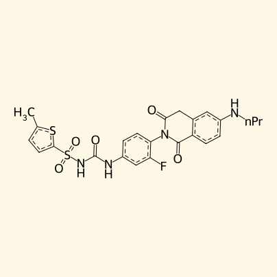 CCCNc1ccc2c(c1)CC(=O)N(c1ccc(NC(=O)NS(=O)(=O)c3ccc(C)s3)cc1F)C2=O